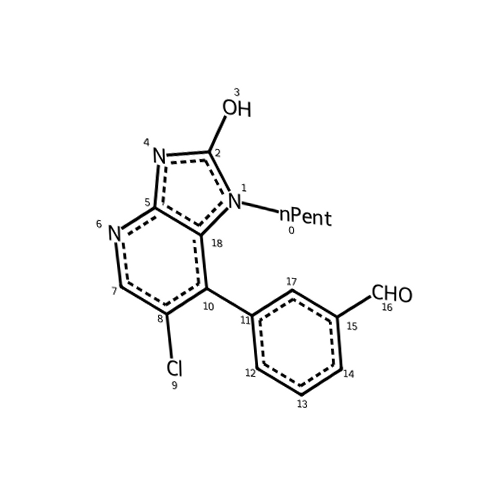 CCCCCn1c(O)nc2ncc(Cl)c(-c3cccc(C=O)c3)c21